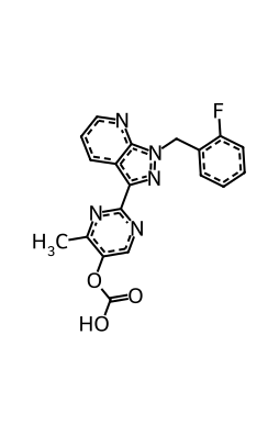 Cc1nc(-c2nn(Cc3ccccc3F)c3ncccc23)ncc1OC(=O)O